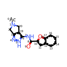 CC(=O)N1Cc2n[nH]c(NC(=O)c3cc4ccccc4o3)c2C1